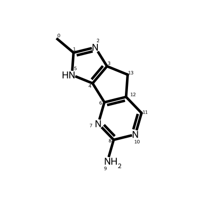 Cc1nc2c([nH]1)-c1nc(N)ncc1C2